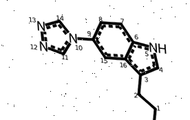 ClCCc1c[nH]c2ccc(-n3cnnc3)cc12